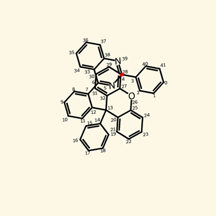 c1ccc(-c2nc(-c3ccccc3C3(c4ccccc4)c4ccccc4Oc4ccccc43)c3ccccc3n2)cc1